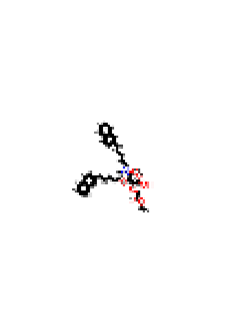 CCOC(=O)CO[C@@H](C(=O)O)[C@@H](OCCCCCc1ccc2ccccc2c1)C(=O)N(C)CCCCCc1ccc2ccccc2c1